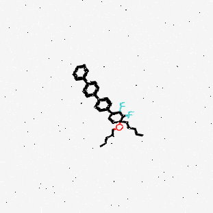 CCCCCOC1(CCCCC)C=CC(c2ccc(-c3ccc(-c4ccccc4)cc3)cc2)=C(F)C1F